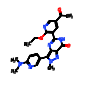 CCOc1ncc(C(C)=O)cc1-c1nc2c(-c3ccc(N(C)C)nc3)n(C)nc2c(=O)[nH]1